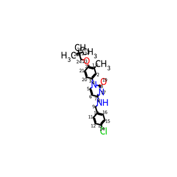 Cc1cc(-n2ccc(NCc3ccc(Cl)cc3)nc2=O)ccc1OCC(C)(C)C